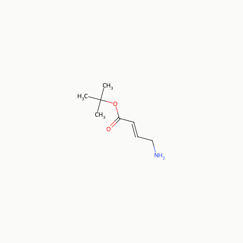 CC(C)(C)OC(=O)C=CCN